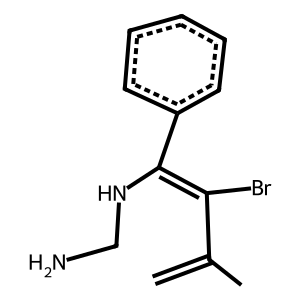 C=C(C)/C(Br)=C(\NCN)c1ccccc1